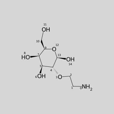 NCCO[C@@H]1[C@@H](O)[C@@H](O)[C@@H](CO)O[C@H]1O